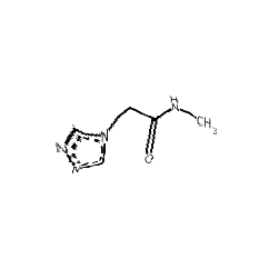 CNC(=O)Cn1[c]nnc1